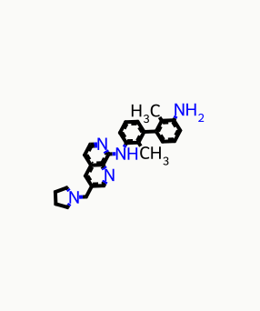 Cc1c(N)cccc1-c1cccc(Nc2nccc3cc(CN4CCCC4)cnc23)c1C